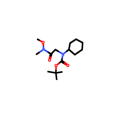 CON(C)C(=O)CN(C(=O)OC(C)(C)C)C1CCCCC1